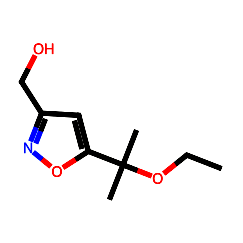 CCOC(C)(C)c1cc(CO)no1